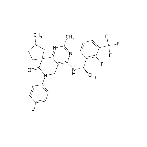 Cc1nc(N[C@H](C)c2cccc(C(F)(F)F)c2F)c2c(n1)C1(CCN(C)C1)C(=O)N(c1ccc(F)cc1)C2